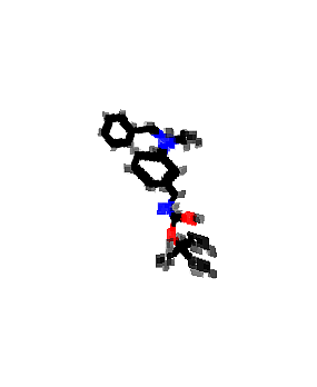 CN(Cc1ccccc1)c1cccc(CNC(=O)OC(C)(C)C)c1